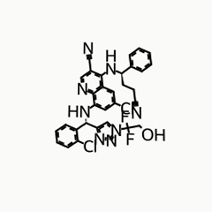 N#CCC[C@@H](Nc1c(C#N)cnc2c(N[C@H](c3cn(C(F)(F)CO)nn3)c3ccccc3Cl)cc(Cl)cc12)c1ccccc1